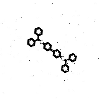 C(=C(c1ccccc1)c1ccccc1)=c1ccc(=c2ccc(=C=C(c3ccccc3)c3ccccc3)cc2)cc1